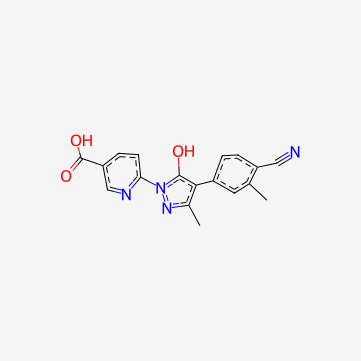 Cc1cc(-c2c(C)nn(-c3ccc(C(=O)O)cn3)c2O)ccc1C#N